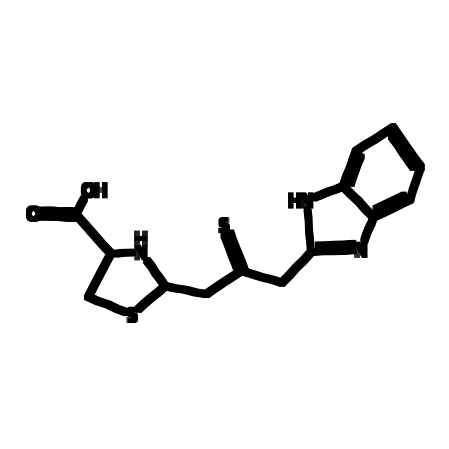 O=C(O)C1CSC(CC(=S)Cc2nc3ccccc3[nH]2)N1